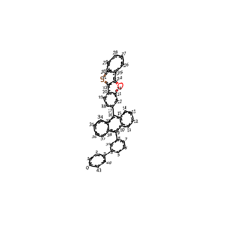 c1ccc(-c2cccc(-c3c4ccccc4c(-c4ccc5c(c4)oc4c6ccccc6sc54)c4ccccc34)c2)cc1